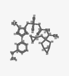 COc1cccc(-c2nc(CS(=O)(=O)CC(=O)NC(C)C3(CC4CC4)CC4CC4C3)c(C)o2)c1